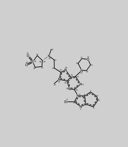 CCc1nc2ccccc2n1-c1nc(N2CCOCC2)c2nc(CCN(C)[C@@H]3CCS(=O)(=O)C3)n(C)c2n1